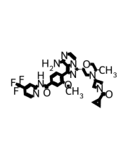 COc1cc(C(=O)Nc2cc(C(F)(F)F)ccn2)ccc1-c1nc([C@H]2CN(C3CN(C(=O)C4CC4)C3)[C@@H](C)CO2)n2ccnc(N)c12